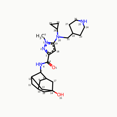 Cn1nc(C(=O)NC2C3CC4CC2CC(O)(C4)C3)cc1N(CC1CCNCC1)C1CC1